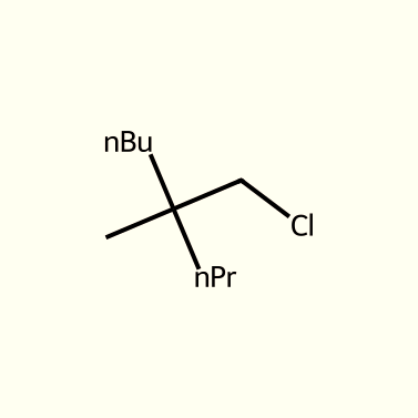 CCCCC(C)(CCl)CCC